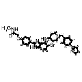 CNC(=O)COc1ccc(-c2nc3c(NC4CCN(Cc5ccc(-n6cncn6)cc5)CC4)c(Br)cnc3[nH]2)cc1